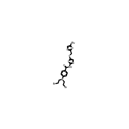 CC(C)(C)c1cnc(CSc2cnc(NC(=O)c3ccc(N(CCBr)CCBr)cc3)s2)o1